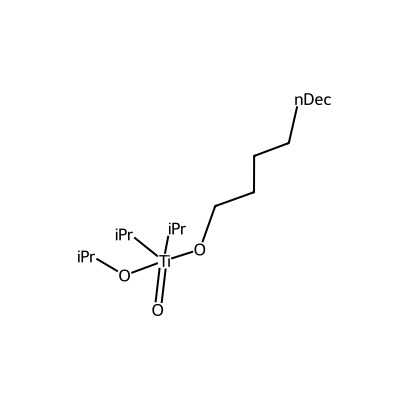 CCCCCCCCCCCCCC[O][Ti](=[O])([O]C(C)C)([CH](C)C)[CH](C)C